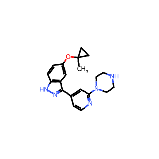 CC1(Oc2ccc3[nH]nc(-c4ccnc(N5CCNCC5)c4)c3c2)CC1